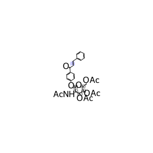 CC(=O)N[C@@H]1[C@@H](Oc2ccc(C(=O)/C=C/c3ccccc3)cc2)O[C@@H](COC(C)=O)[C@@H](OC(C)=O)[C@H]1OC(C)=O